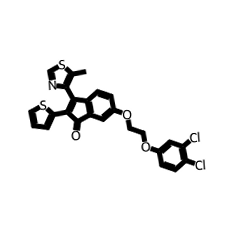 Cc1scnc1C1=C(c2cccs2)C(=O)c2cc(OCCOc3ccc(Cl)c(Cl)c3)ccc21